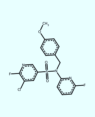 COc1ccc(CN(c2cccc(F)n2)S(=O)(=O)c2cnc(F)c(Cl)c2)cc1